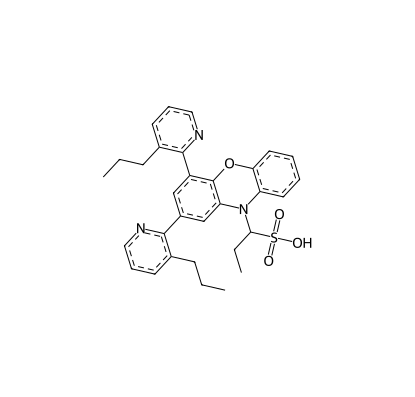 CCCc1cccnc1-c1cc(-c2ncccc2CCC)c2c(c1)N(C(CC)S(=O)(=O)O)c1ccccc1O2